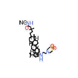 C=C(C)[C@@H]1CC[C@]2(NCCN3CCS(=O)(=O)CC3)CC[C@]3(C)[C@H](CC[C@@H]4[C@@]5(C)CC=C(CCC(C)(C)CC(=O)NC#N)C(C)(C)[C@@H]5CC[C@]43C)[C@@H]12